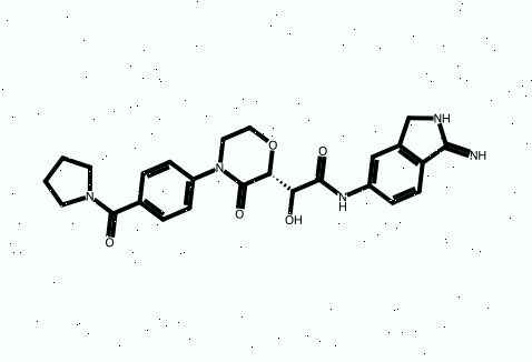 N=C1NCc2cc(NC(=O)C(O)[C@H]3OCCN(c4ccc(C(=O)N5CCCC5)cc4)C3=O)ccc21